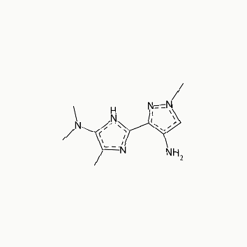 Cc1nc(-c2nn(C)cc2N)[nH]c1N(C)C